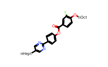 CCCCCCCCOc1ccc(C(=O)Oc2ccc(-c3ncc(CCCCCCC)cn3)cc2)cc1F